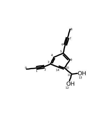 CC#Cc1cc(C#CC)cc(C(O)O)c1